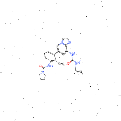 CCNC(=O)Nc1cc(C2=CCCC(NC(=O)N3CCCC3)=C2C)cn2ccnc12